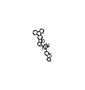 c1ccc2c(c1)sc1cc(-c3cncc(-c4cccc5c4oc4cc6c7ccccc7c7ccccc7c6cc45)n3)ccc12